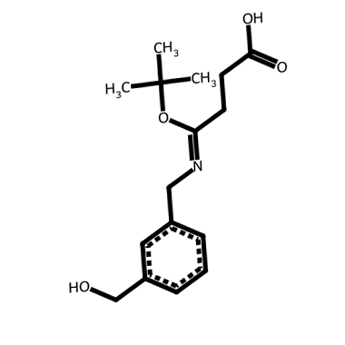 CC(C)(C)OC(CCC(=O)O)=NCc1cccc(CO)c1